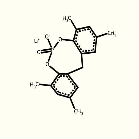 Cc1cc(C)c2c(c1)Cc1cc(C)cc(C)c1OP(=O)([O-])O2.[Li+]